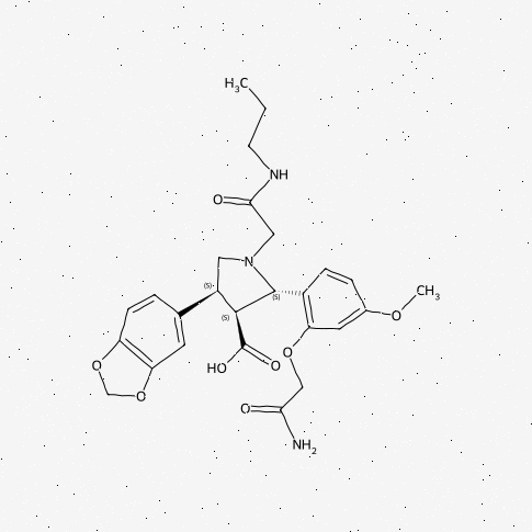 CCCNC(=O)CN1C[C@H](c2ccc3c(c2)OCO3)[C@H](C(=O)O)[C@H]1c1ccc(OC)cc1OCC(N)=O